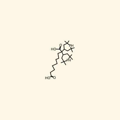 CC1(C)CC(C(CCCCCCCC(=O)O)(C(=O)O)C2CC(C)(C)PC(C)(C)C2)CC(C)(C)P1